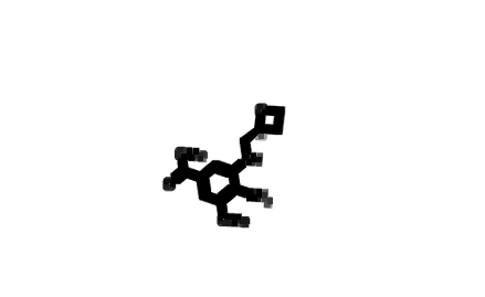 COC(=O)c1cc(NC[C@@H]2CCO2)c(N)c(OC)c1